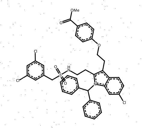 COC(=O)c1ccc(OCCc2c(CCNS(=O)(=O)Cc3cc(Cl)cc(Cl)c3)n(C(c3ccccc3)c3ccccc3)c3cc(Cl)ccc23)cc1